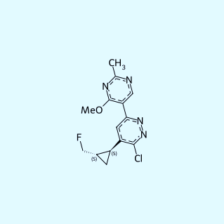 COc1nc(C)ncc1-c1cc([C@H]2C[C@@H]2CF)c(Cl)nn1